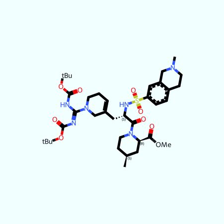 COC(=O)[C@H]1C[C@@H](C)CCN1C(=O)[C@H](CC1=CCCN(C(=NC(=O)OC(C)(C)C)NC(=O)OC(C)(C)C)C1)NS(=O)(=O)c1ccc2c(c1)CN(C)CC2